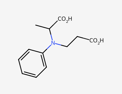 CC(C(=O)O)N(CCC(=O)O)c1ccccc1